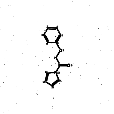 O=C(COc1cc[c]cc1)n1cccc1